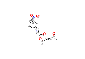 CC(=O)C#C[C@@H](C)OC(=O)/C=C/C1=CCC[C@H]([N+](=O)[O-])C1